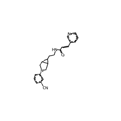 N#Cc1cccc(N2CC3C(CCNC(=O)/C=C/c4cccnc4)C3C2)c1